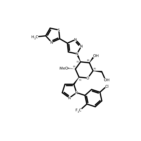 CO[C@@H]1[C@@H](n2cc(-c3nc(C)cs3)nn2)[C@@H](O)[C@@H](CO)O[C@H]1c1ccnn1-c1cc(Cl)ccc1C(F)(F)F